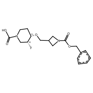 O=C(O)N1CC[C@H](OCC2CN(C(=O)OCc3ccccc3)C2)[C@H](F)C1